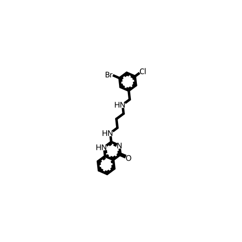 O=c1nc(NCCCNCc2cc(Cl)cc(Br)c2)[nH]c2ccccc12